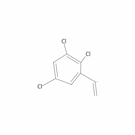 C=[C]c1cc(Cl)cc(Cl)c1Cl